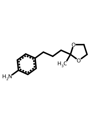 CC1(CCCc2ccc(N)cc2)OCCO1